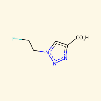 O=C(O)c1cn(CCF)nn1